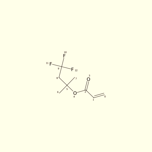 C=CC(=O)OC(C)(C)CC(F)(F)F